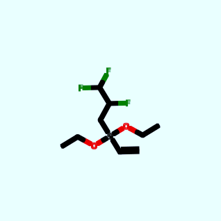 C=C[Si](CC(F)C(F)F)(OCC)OCC